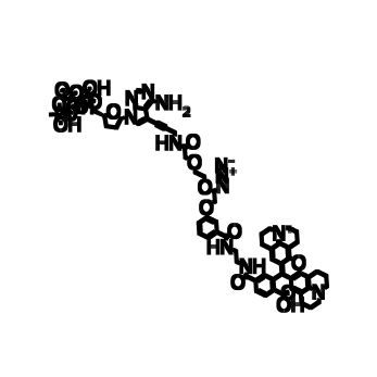 CP(=O)(O)OP(=O)(O)OP(=O)(O)OC[C@@H]1CC[C@H](n2cc(C#CCNC(=O)COCCOC(COc3cccc(C(=O)NCCNC(=O)c4ccc(C(=O)O)c(C5=c6cc7c8c(c6Oc6c5cc5c9c6CCCN9CCC5)CCC[N+]=8CCC7)c4)c3)N=[N+]=[N-])c3c(N)ncnc32)O1